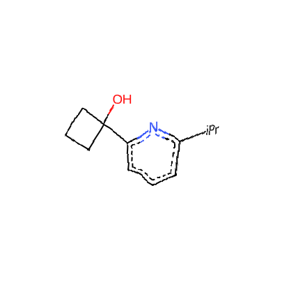 CC(C)c1cccc(C2(O)CCC2)n1